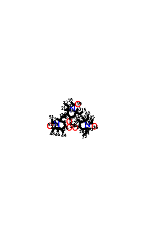 CCC1(C)CC(O[Si](C)(OC2CC(C)(CC)N(C(C)=O)C(C)(CC)C2C)OC2CC(C)(CC)N(C(C)=O)C(C)(CC)C2C)C(C)C(C)(CC)N1C(C)=O